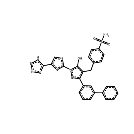 NS(=O)(=O)c1ccc(Cc2c(-c3cccc(-c4ccccc4)c3)nn(-c3nc(-c4nnn[nH]4)cs3)c2O)cc1